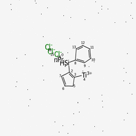 CCC[SiH](C1=[C]([Ti+3])CC=C1)c1ccccc1.[Cl-].[Cl-].[Cl-]